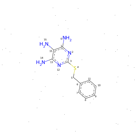 Nc1nc(SCc2ccccc2)nc(N)c1N